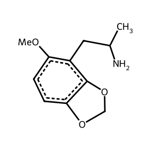 COc1ccc2c(c1CC(C)N)OCO2